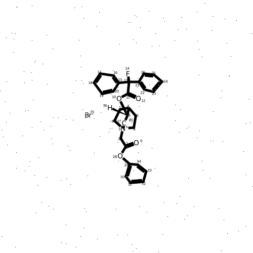 O=C(C[N+]12CCC(CC1)[C@@H](OC(=O)C(F)(c1ccccc1)c1ccccc1)C2)Oc1ccccc1.[Br-]